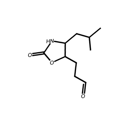 CC(C)CC1NC(=O)OC1CCC=O